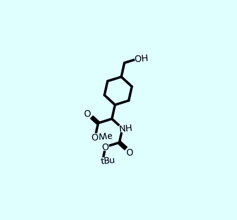 COC(=O)C(NC(=O)OC(C)(C)C)C1CCC(CO)CC1